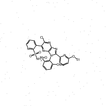 CCOc1cccc(-c2nc3nc(Cl)c(-c4cccnc4S(N)(=O)=O)nc3n2-c2c(OC)cccc2OC)n1